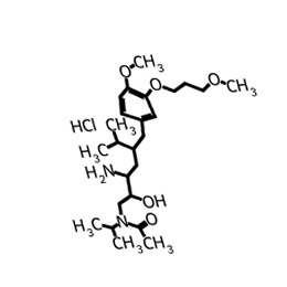 COCCCOc1cc(CC(CC(N)C(O)CN(C(C)=O)C(C)C)C(C)C)ccc1OC.Cl